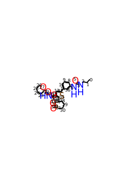 CCCNC(=O)Nc1cccc(-c2ccc([C@@]3(CC(=O)NOC4CCCCO4)CCCCS3(=O)=O)s2)c1